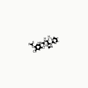 C[C@H](NC(=O)Nc1cc(OC(F)F)c(Cl)cc1Cl)c1ncnn1-c1ncccn1